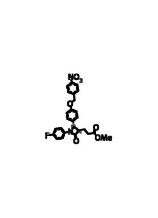 COC(=O)CC[C@H]1C(=O)N(c2ccc(F)cc2)[C@@H]1c1ccc(OCc2ccc([N+](=O)[O-])cc2)cc1